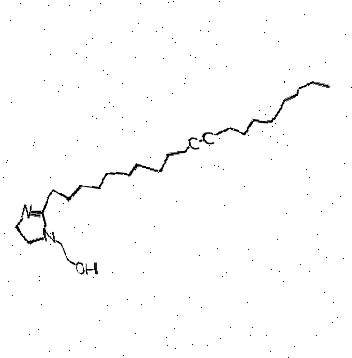 CCCCCCCCCCCCCCCCCCCCC1=NCCN1CCO